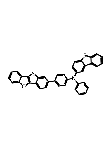 c1ccc(N(c2ccc(-c3ccc4c(c3)sc3c5ccccc5oc43)cc2)c2ccc3sc4ccccc4c3c2)cc1